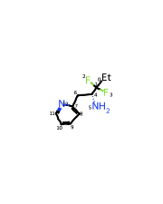 CCC(F)(F)[C@H](N)Cc1ccccn1